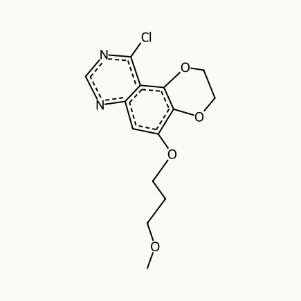 COCCCOc1cc2ncnc(Cl)c2c2c1OCCO2